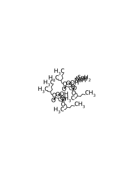 CCCCC(CC)COC(=O)CC(C(=O)OCC(CC)CCCC)S(=O)(=O)O.CCCCC(CC)COC(=O)CC(C(=O)OCC(CC)CCCC)S(=O)(=O)O.[NaH].[NaH].[SnH2]